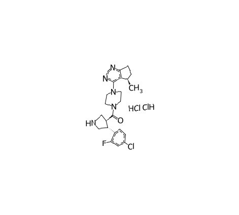 C[C@@H]1CCc2ncnc(N3CCN(C(=O)[C@@H]4CNC[C@H]4c4ccc(Cl)cc4F)CC3)c21.Cl.Cl